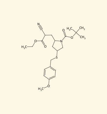 CCOC(=O)C(C#N)CC1CC(SCc2ccc(OC)cc2)CN1C(=O)OC(C)(C)C